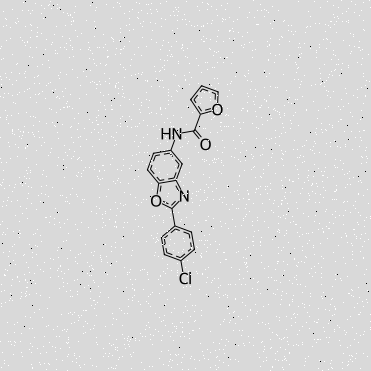 O=C(Nc1ccc2oc(-c3ccc(Cl)cc3)nc2c1)c1ccco1